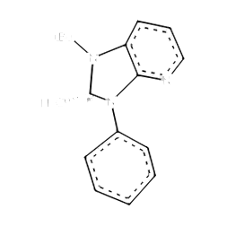 C[C@H]1N(c2ccccc2)c2ncccc2N1C(C)(C)C